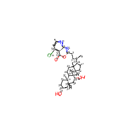 C[C@H](CCc1nc2nccc(Cl)c2c(=O)o1)[C@H]1CC[C@H]2[C@H]3C(CC[C@]12C)[C@@]1(C)CC[C@@H](O)C[C@H]1C[C@@H]3O